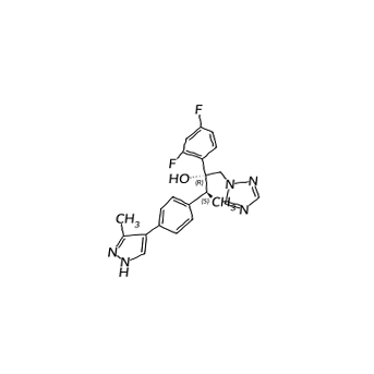 Cc1n[nH]cc1-c1ccc([C@H](C)[C@](O)(Cn2cncn2)c2ccc(F)cc2F)cc1